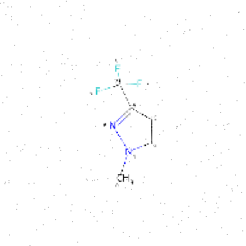 CN1C[CH]C(C(F)(F)F)=N1